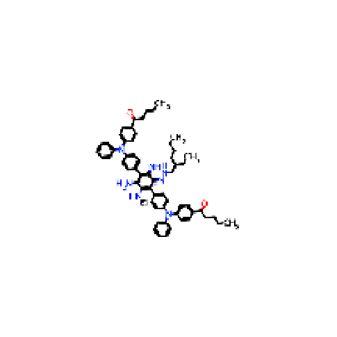 CCCCC(=O)c1ccc(N(c2ccccc2)c2ccc(C3=C(N)C(NC)=C(c4ccc(N(c5ccccc5)c5ccc(C(=O)CCCC)cc5)cc4)/C(=N/NCC(CC)CCCC)C3=N)cc2)cc1